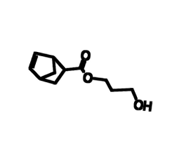 O=C(OCCCO)C1CC2C=CC1C2